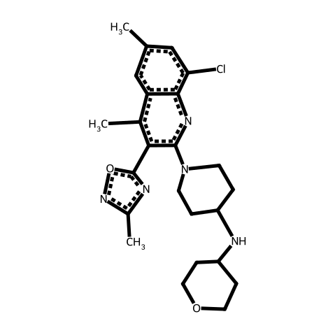 Cc1cc(Cl)c2nc(N3CCC(NC4CCOCC4)CC3)c(-c3nc(C)no3)c(C)c2c1